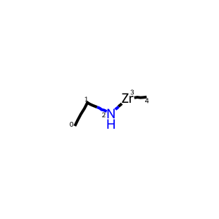 CC[NH][Zr][CH3]